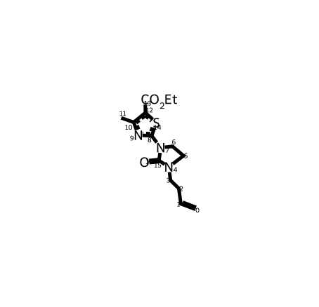 C=CCCN1CCN(c2nc(C)c(C(=O)OCC)s2)C1=O